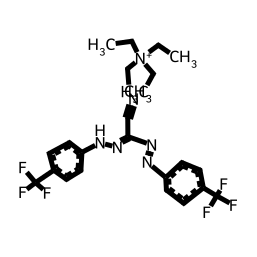 CC[N+](CC)(CC)CC.N#CC(N=Nc1ccc(C(F)(F)F)cc1)=NNc1ccc(C(F)(F)F)cc1